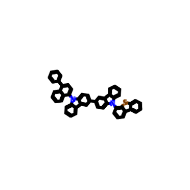 c1ccc(-c2ccc(-n3c4ccccc4c4cc(-c5ccc6c(c5)c5ccccc5n6-c5cccc6c5sc5ccccc56)ccc43)c3ccccc23)cc1